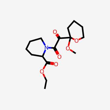 CCOC(=O)C1CCCCN1C(=O)C(=O)C1(OC)CCCCO1